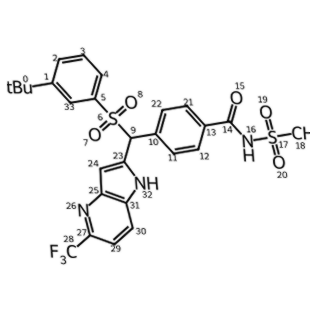 CC(C)(C)c1cccc(S(=O)(=O)C(c2ccc(C(=O)NS(C)(=O)=O)cc2)c2cc3nc(C(F)(F)F)ccc3[nH]2)c1